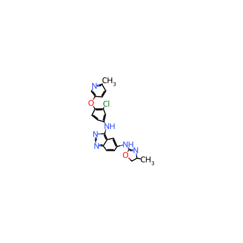 Cc1ccc(Oc2ccc(Nc3ncnc4ccc(NC5=NC(C)CO5)cc34)cc2Cl)cn1